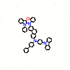 c1ccc(-c2ccc(N(c3ccc(-n4c5ccccc5c5ccccc54)cc3)c3ccc4c(ccc5cc(N6c7ccccc7Oc7c6n(-c6ccccc6)c6ccccc76)ccc54)c3)cc2)cc1